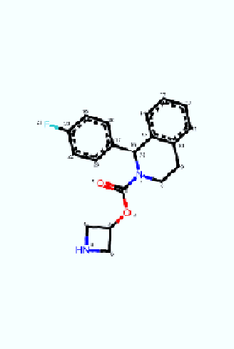 O=C(OC1CNC1)N1CCc2ccccc2[C@@H]1c1ccc(F)cc1